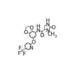 CN1C(=O)NCC1C(=O)Nc1cc(Oc2ccc(C(F)(F)F)cn2)cc2c1OCCO2